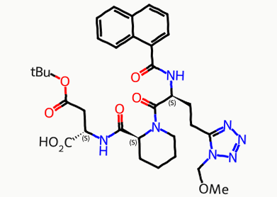 COCn1nnnc1CC[C@H](NC(=O)c1cccc2ccccc12)C(=O)N1CCCC[C@H]1C(=O)N[C@@H](CC(=O)OC(C)(C)C)C(=O)O